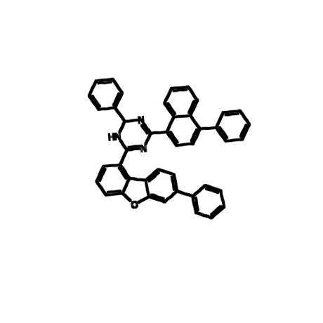 c1ccc(-c2ccc3c(c2)oc2cccc(C4=NC(c5ccc(-c6ccccc6)c6ccccc56)=NC(c5ccccc5)N4)c23)cc1